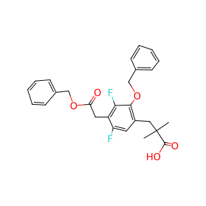 CC(C)(Cc1cc(F)c(CC(=O)OCc2ccccc2)c(F)c1OCc1ccccc1)C(=O)O